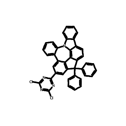 Clc1nc(Cl)nc(-c2cc3c4c(c2)C(c2ccccc2)(c2ccccc2)c2ccc5c6ccccc6n(c5c2-4)-c2ccccc2-3)n1